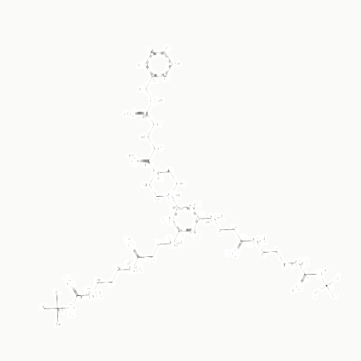 CC(C)(C)OC(=O)NCCCNC(=O)CCNc1nc(NCCC(=O)NCCCNC(=O)OC(C)(C)C)nc(N2CCN(C(=O)CCCC(=O)OCc3ccccc3)CC2)n1